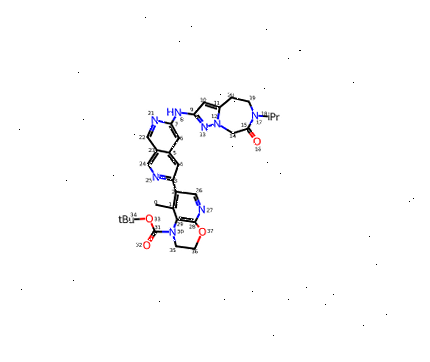 Cc1c(-c2cc3cc(Nc4cc5n(n4)CC(=O)N(C(C)C)CC5)ncc3cn2)cnc2c1N(C(=O)OC(C)(C)C)CCO2